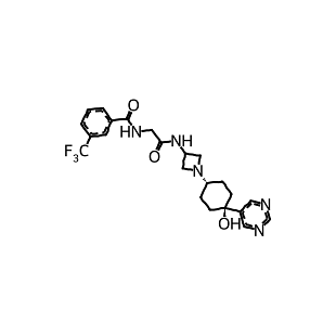 O=C(CNC(=O)c1cccc(C(F)(F)F)c1)NC1CN([C@H]2CC[C@@](O)(c3cncnc3)CC2)C1